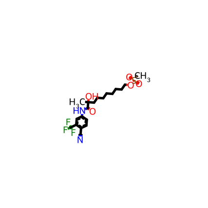 CC(O)(CCCCCCCCOS(C)(=O)=O)C(=O)Nc1ccc(C#N)c(C(F)(F)F)c1